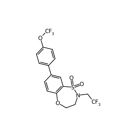 O=S1(=O)c2cc(-c3ccc(OC(F)(F)F)cc3)ccc2OCCN1CC(F)(F)F